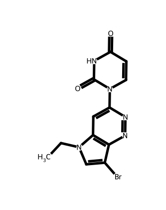 CCn1cc(Br)c2nnc(-n3ccc(=O)[nH]c3=O)cc21